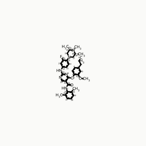 CCCc1ccc(Oc2nc(Nc3ccc(N4C[C@@H](C)N(C)[C@@H](C)C4)c(F)c3)ncc2C(=O)Nc2c(C)cccc2C)c(OC)c1